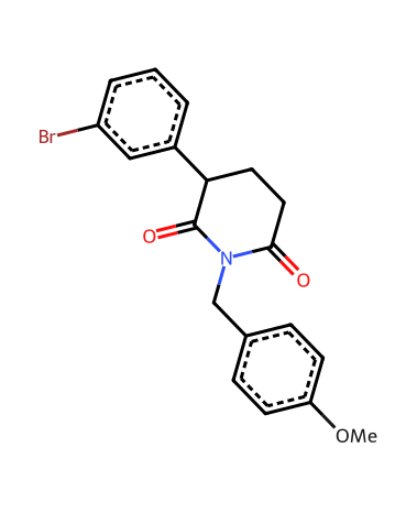 COc1ccc(CN2C(=O)CCC(c3cccc(Br)c3)C2=O)cc1